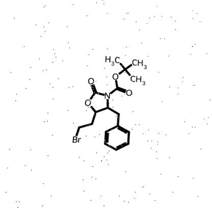 CC(C)(C)OC(=O)N1C(=O)OC(CCBr)C1Cc1ccccc1